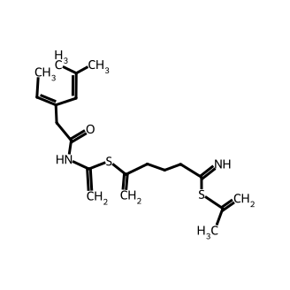 C=C(C)SC(=N)CCCC(=C)SC(=C)NC(=O)C/C(C=C(C)C)=C/C